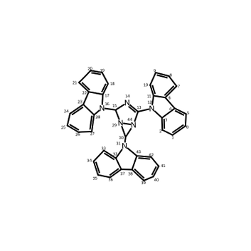 c1ccc2c(c1)c1ccccc1n2C1=NC(n2c3ccccc3c3ccccc32)N2C(n3c4ccccc4c4ccccc43)N12